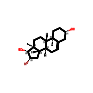 C[C@]12CC[C@H]3[C@@H](CC=C4C[C@@H](O)CC[C@@]43C)[C@@H]1C[C@H](Br)[C@@H]2O